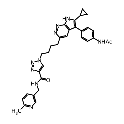 CC(=O)Nc1ccc(-c2c(C3CC3)[nH]c3nnc(CCCCn4cc(C(=O)NCc5ccc(C)nc5)nn4)cc23)cc1